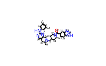 Cc1cc(C)cc(Nc2ncc3c(n2)CN(CC2CCN(C(=O)c4ccc5[nH]nnc5c4)CC2)C(C)C3)c1